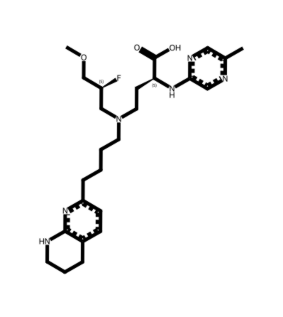 COC[C@@H](F)CN(CCCCc1ccc2c(n1)NCCC2)CC[C@H](Nc1cnc(C)cn1)C(=O)O